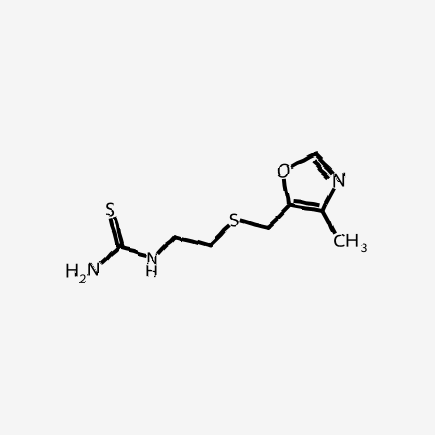 Cc1ncoc1CSCCNC(N)=S